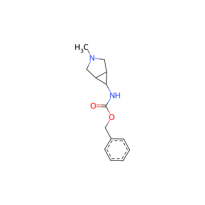 CN1CC2C(C1)C2NC(=O)OCc1ccccc1